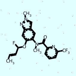 C/C=C/C(F)Oc1cc2nn(C)cc2cc1N(C)C(=O)c1cccc(C(F)(F)F)n1